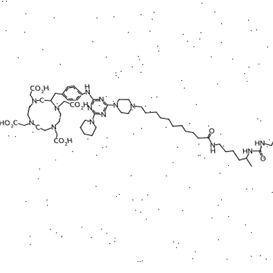 CC(CCCCNC(=O)CCCCCCCCCCN1CCN(c2nc(Nc3ccc(CC4CN(CC(=O)O)CCN(CC(=O)O)CCN(CC(=O)O)CCN4CC(=O)O)cc3)nc(N3CCCCC3)n2)CC1)NC(=O)NCC(=O)O